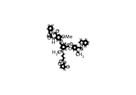 C=Nc1cc(OCc2cc(COc3cc4c(cc3OC)C(=O)N3c5ccccc5C[C@H]3C(=O)N4)cc(N(C)CCCC(=O)OC3C(=O)CCC3=O)c2)c(OC)cc1C(=O)N1CCc2ccccc21